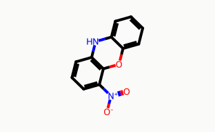 O=[N+]([O-])c1cccc2c1Oc1ccccc1N2